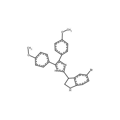 COc1ccc(-c2nc(C3CNc4ccc(Br)cc43)[nH]c2-c2ccc(OC)cc2)cc1